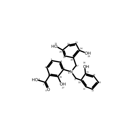 O=C(O)c1cccc(N(Cc2ccccc2O)Cc2cc(O)ccc2O)c1O